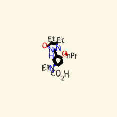 CCCOc1ccc(N(CC)C(=O)O)cc1-c1nc(CC)c(CC)c(=O)[nH]1